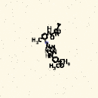 Cc1ccc(NC(=O)c2cc(C3CC3)on2)cc1/C=C/n1cnc2c(Nc3ccc(P(C)(C)=O)cc3)ncnc21